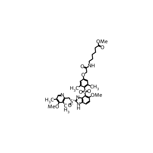 COC(=O)CCCCCNC(=O)COc1cc(C)c(S(=O)(=O)c2c(OC)ccc3[nH]c([S+]([O-])Cc4ncc(C)c(OC)c4C)nc23)c(C)c1